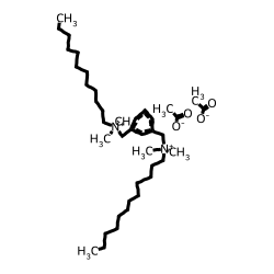 CC(=O)[O-].CC(=O)[O-].CCCCCCCCCCCC[N+](C)(C)Cc1cccc(C[N+](C)(C)CCCCCCCCCCCC)c1